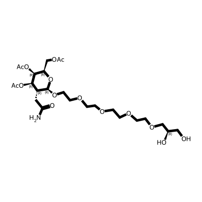 CC(=O)OC[C@H]1O[C@@H](OCCOCCOCCOCCOC[C@H](O)CO)[C@H](CC(N)=O)[C@@H](OC(C)=O)[C@H]1OC(C)=O